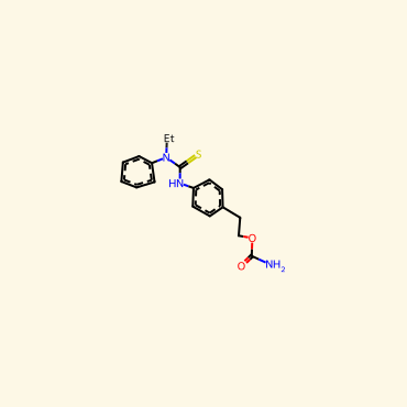 CCN(C(=S)Nc1ccc(CCOC(N)=O)cc1)c1ccccc1